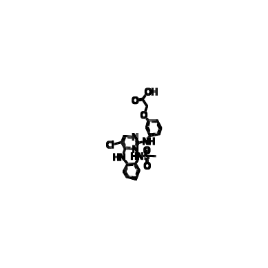 CS(=O)(=O)Nc1ccccc1Nc1nc(Nc2cccc(OCC(=O)O)c2)ncc1Cl